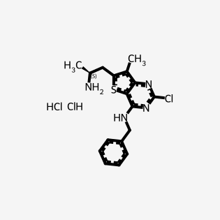 Cc1c(C[C@H](C)N)sc2c(NCc3ccccc3)nc(Cl)nc12.Cl.Cl